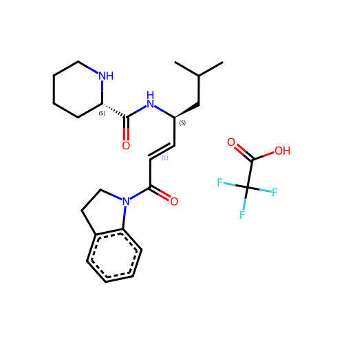 CC(C)C[C@@H](/C=C/C(=O)N1CCc2ccccc21)NC(=O)[C@@H]1CCCCN1.O=C(O)C(F)(F)F